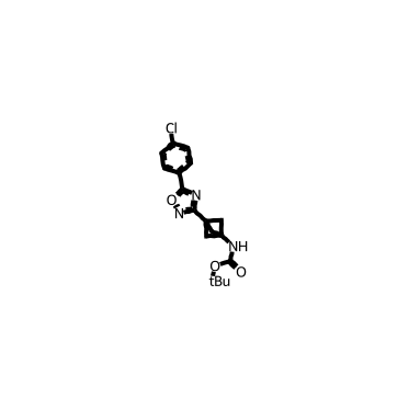 CC(C)(C)OC(=O)NC12CC(c3noc(-c4ccc(Cl)cc4)n3)(C1)C2